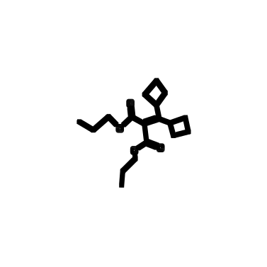 CCCOC(=O)C(C(=O)OCCC)=C(C1CCC1)C1CCC1